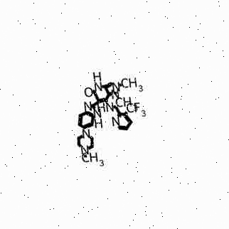 CC(Nc1c(-c2nc3ccc(N4CCN(C)CC4)cc3[nH]2)c(=O)[nH]c2cn(C)nc12)c1ncccc1C(F)(F)F